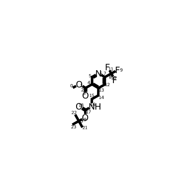 COC(=O)c1cnc(C(F)(F)F)cc1CCNC(=O)OC(C)(C)C